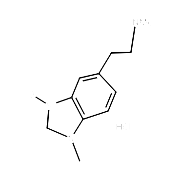 CNCCc1ccc2c(c1)[S+]([O-])CN2C.Cl